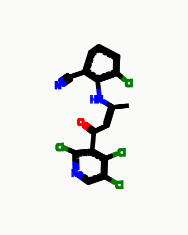 CC(=CC(=O)c1c(Cl)ncc(Cl)c1Cl)Nc1c(Cl)cccc1C#N